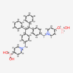 OBOc1cc[n+](Cc2ccc(C(=C(c3ccccc3)c3ccc(C[n+]4ccc(B(O)O)cc4)cc3)c3ccccc3)cc2)cc1